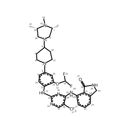 C[C@@H]1CN(C2CCN(c3ccc(Nc4ncc(C(F)(F)F)c(Nc5cccc6c5C(=O)NC6)n4)c(OC(F)F)c3)CC2)C[C@H](C)N1C